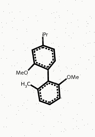 COc1[c]ccc(C)c1-c1ccc(C(C)C)cc1OC